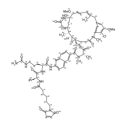 COc1cc2cc(c1Cl)N(C)C(=O)C[C@H](OC(=O)[C@H](C)N(C)C(=O)c1ccc3nc(NC(=O)[C@H](CCCNC(N)=O)NC(=O)[C@@H](NC(=O)CCCCCN4C(=O)C=CC4=O)C(C)C)ccc3c1)[C@]1(C)O[C@H]1[C@H](C)[C@@H]1C[C@@](O)(NC(=O)O1)[C@H](OC)/C=C/C=C(\C)C2